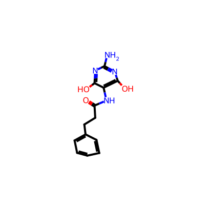 Nc1nc(O)c(NC(=O)CCc2ccccc2)c(O)n1